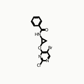 O=C(NC1CC1Oc1nc(Cl)ncc1Br)c1ccccc1